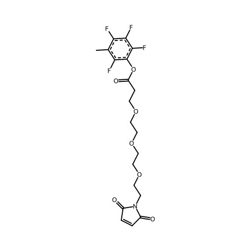 Cc1c(F)c(F)c(F)c(OC(=O)CCOCCOCCOCCN2C(=O)C=CC2=O)c1F